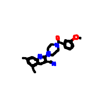 COc1cccc(C(=O)N2CCN(c3nc4cc(C)cc(C)c4cc3C#N)CC2)c1